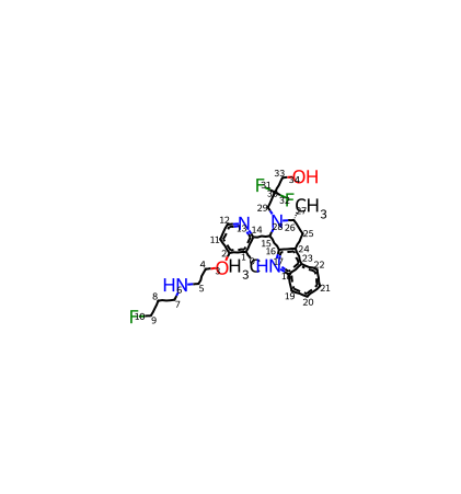 Cc1c(OCCNCCCF)ccnc1C1c2[nH]c3ccccc3c2C[C@@H](C)N1CC(F)(F)CO